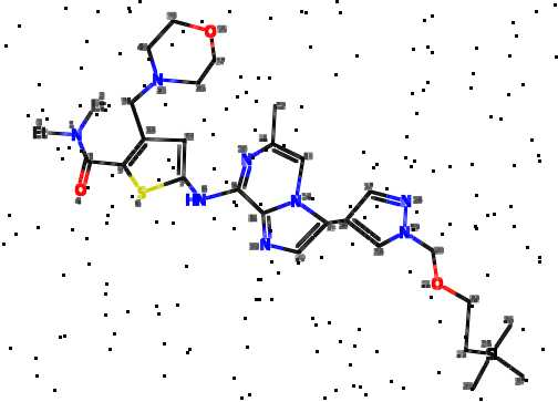 CCN(CC)C(=O)c1sc(Nc2nc(C)cn3c(-c4cnn(COCC[Si](C)(C)C)c4)cnc23)cc1CN1CCOCC1